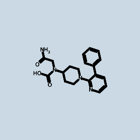 NC(=O)CN(C(=O)O)C1CCN(c2ncccc2-c2ccccc2)CC1